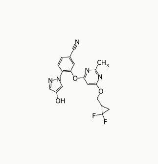 Cc1nc(OCC2CC2(F)F)cc(Oc2cc(C#N)ccc2-n2cc(O)cn2)n1